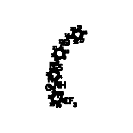 O=C(Nc1cc2sc([C@H]3CC[C@H](COCc4ccccc4)CC3)nc2cn1)c1cccc(C(F)(F)F)n1